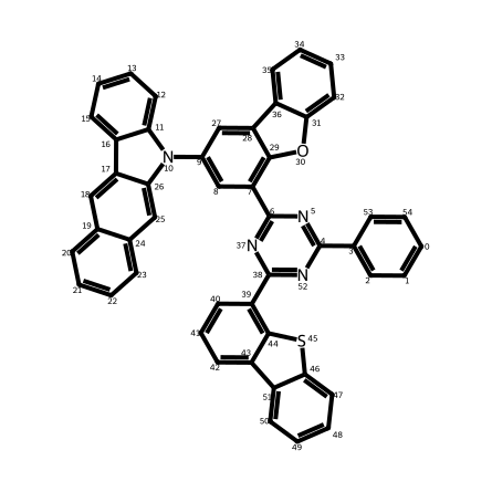 c1ccc(-c2nc(-c3cc(-n4c5ccccc5c5cc6ccccc6cc54)cc4c3oc3ccccc34)nc(-c3cccc4c3sc3ccccc34)n2)cc1